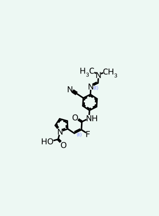 CN(C)/C=N/c1ccc(NC(=O)/C(F)=C\c2cccn2C(=O)O)cc1C#N